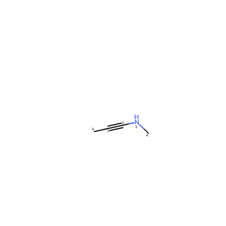 CC#CNC